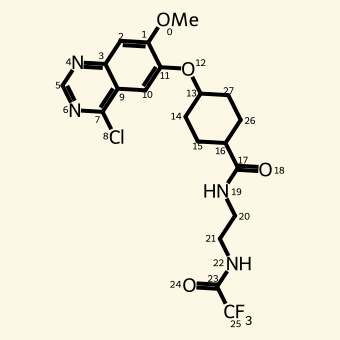 COc1cc2ncnc(Cl)c2cc1OC1CCC(C(=O)NCCNC(=O)C(F)(F)F)CC1